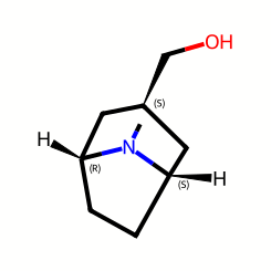 CN1[C@@H]2CC[C@H]1C[C@H](CO)C2